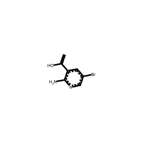 C=C(O)c1cc(Br)cnc1N